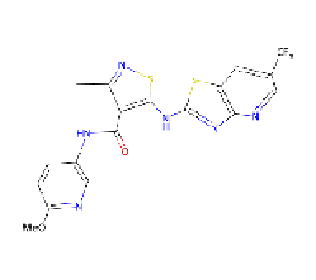 COc1ccc(NC(=O)c2c(C)nsc2Nc2nc3ncc(C(F)(F)F)cc3s2)cn1